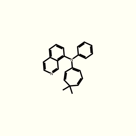 CC1(C)C=CC=C(N(c2ccccc2)c2cccc3ccncc23)C=C1